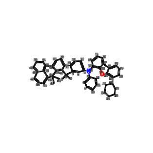 CC1(C)c2cc(N(c3ccccc3)c3cccc4c3oc3c(C5CCCCC5)cccc34)ccc2-c2ccc3c(c21)C(C)(C)c1cccc2cccc-3c12